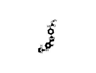 CC(C)OC(=O)N[C@H]1CC[C@H](c2ncc(-c3ccc(Nc4ncc[nH]4)cc3F)s2)CC1